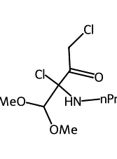 CCCNC(Cl)(C(=O)CCl)C(OC)OC